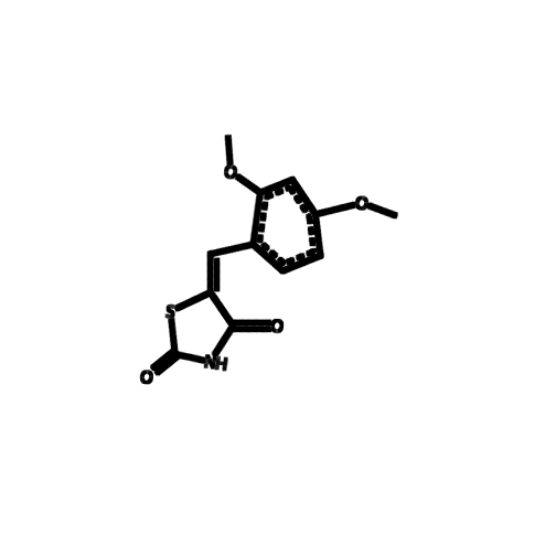 COc1ccc(/C=C2/SC(=O)NC2=O)c(OC)c1